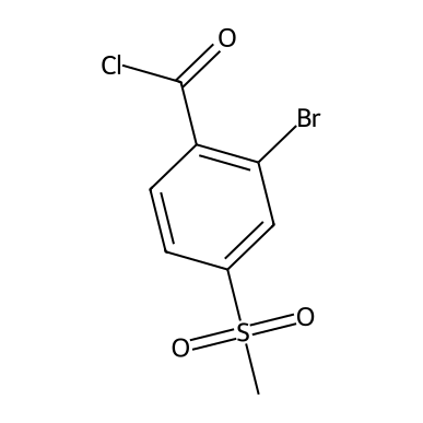 CS(=O)(=O)c1ccc(C(=O)Cl)c(Br)c1